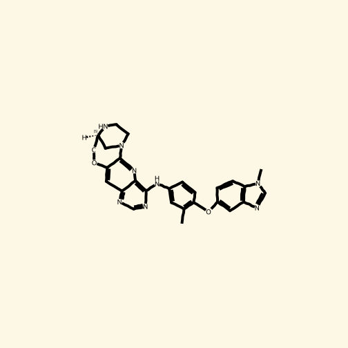 Cc1cc(Nc2ncnc3cc4c(nc23)N2CCN[C@H](CO4)C2)ccc1Oc1ccc2c(c1)ncn2C